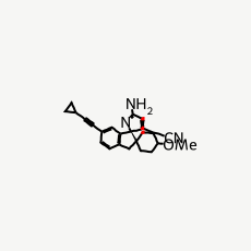 COC1CCC2(CC1)Cc1ccc(C#CC3CC3)cc1[C@@]21N=C(N)c2ccc(C#N)cc21